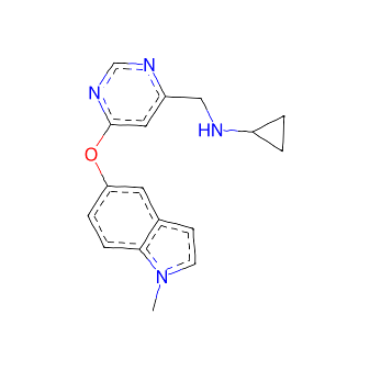 Cn1ccc2cc(Oc3cc(CNC4CC4)ncn3)ccc21